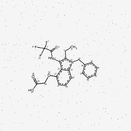 CCc1c(NC(=O)C(F)(F)F)c2c(OCC(=O)O)cccc2n1Cc1ccccc1